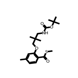 CSC(=O)c1ccc(C)cc1OCC(C)(C)CNC(=O)OC(C)(C)C